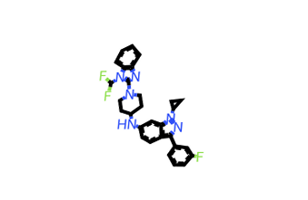 Fc1cccc(-c2nn(C3CC3)c3cc(NC4CCN(c5nc6ccccc6n5C(F)F)CC4)ccc23)c1